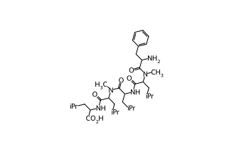 CC(C)CC(NC(=O)C(CC(C)C)N(C)C(=O)C(CC(C)C)NC(=O)C(CC(C)C)N(C)C(=O)C(N)Cc1ccccc1)C(=O)O